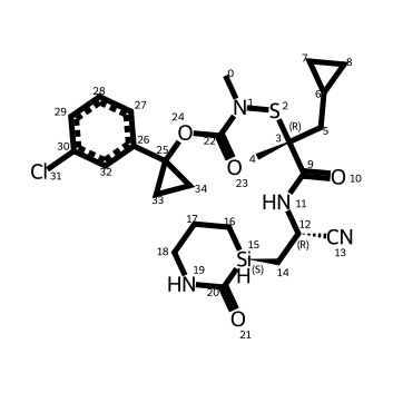 CN(S[C@](C)(CC1CC1)C(=O)N[C@H](C#N)C[Si@@H]1CCCNC1=O)C(=O)OC1(c2cccc(Cl)c2)CC1